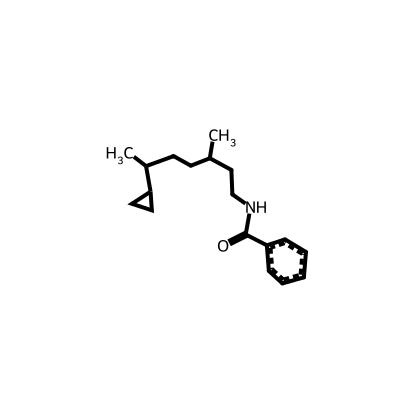 CC(CCNC(=O)c1ccccc1)CCC(C)C1CC1